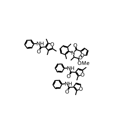 COC(=O)C(C)N(C(=O)c1ccco1)c1c(C)cccc1C.Cc1cc(C(=O)Nc2ccccc2)c(C)o1.Cc1oc(C)c(C(=O)Nc2ccccc2)c1C.Cc1occc1C(=O)Nc1ccccc1